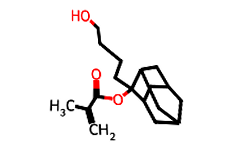 C=C(C)C(=O)OC1(CCCCO)C2CC3CC(C2)CC1C3